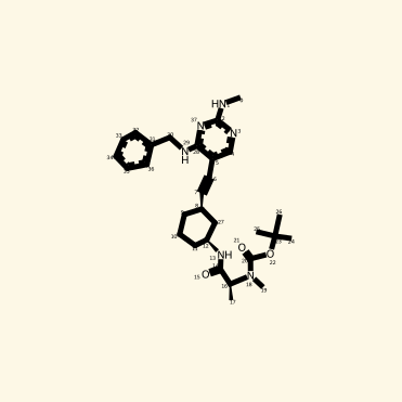 CNc1ncc(C#C[C@@H]2CCC[C@H](NC(=O)[C@H](C)N(C)C(=O)OC(C)(C)C)C2)c(NCc2ccccc2)n1